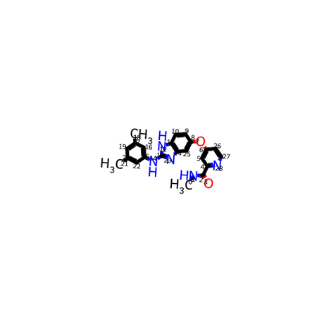 CNC(=O)c1cc(Oc2ccc3[nH]c(Nc4cc(C)cc(C)c4)nc3c2)ccn1